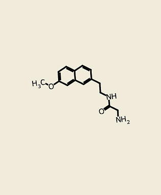 COc1ccc2ccc(CCNC(=O)CN)cc2c1